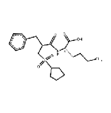 CCCC[C@H](NC(=O)C(Cc1ccccc1)CS(=O)(=O)C1CCCC1)C(=O)O